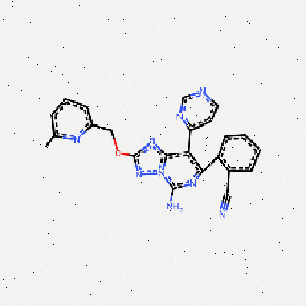 Cc1cccc(COc2nc3c(-c4ccncn4)c(-c4ccccc4C#N)nc(N)n3n2)n1